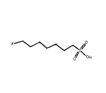 O=S(=O)(O)CCCCCCCF